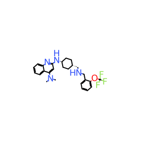 CN(C)c1cc(N[C@H]2CC[C@@H](CNCc3ccccc3OC(F)(F)F)CC2)nc2ccccc12